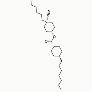 CCCCCCC[C@H]1CC[C@H](C(=O)O[C@H]2CC[C@](C#N)(CCCCCC)CC2)CC1